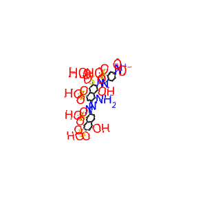 Nc1c(N=Nc2ccc3c(O)cc(S(=O)(=O)O)cc3c2S(=O)(=O)O)cc(S(=O)(=O)O)c2cc(SOOO)c(N=Nc3ccc([N+](=O)[O-])cc3S(=O)(=O)O)c(O)c12